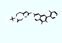 BC(B)(B)N1CCc2cc(Nc3cc4cc(-c5cnccc5C)c(F)c(Cl)c4cn3)nn2CC1=O